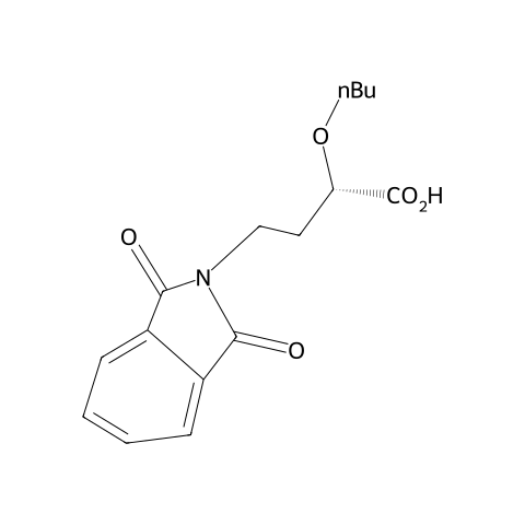 CCCCO[C@@H](CCN1C(=O)c2ccccc2C1=O)C(=O)O